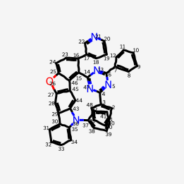 c1ccc(-c2nc(-c3ccccc3)nc(-c3c(-c4cccnc4)ccc4oc5cc6c7ccccc7n(-c7ccccc7)c6cc5c34)n2)cc1